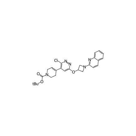 CC(C)(C)OC(=O)N1CC=C(c2cc(OC3CN(c4ccc5ccccc5n4)C3)nnc2Cl)CC1